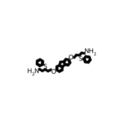 NCCC(CCOc1ccc2c(c1)Cc1cc(OCCC(CCN)Sc3ccccc3)ccc1-2)Sc1ccccc1